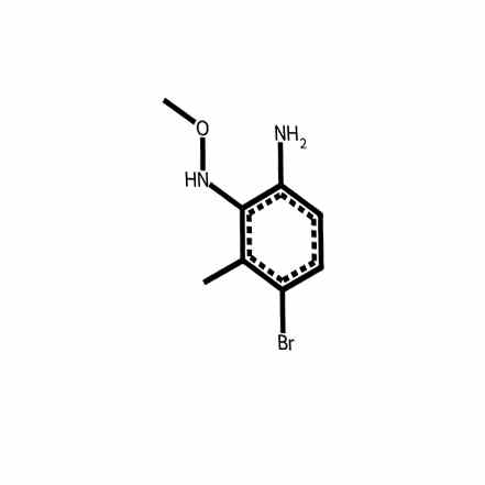 CONc1c(N)ccc(Br)c1C